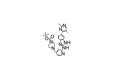 Cc1ncc(C)c(-c2ccc3nc(Nc4cc(CN5CCN(C(=O)OC(C)(C)C)CC5)ccn4)[nH]c3c2)n1